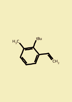 C=Cc1cccc(C)c1C(C)(C)C